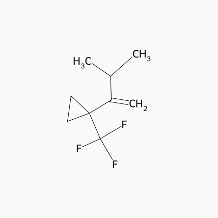 C=C(C(C)C)C1(C(F)(F)F)CC1